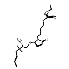 CCCCC(C)(C)C(O)CSC1CCC(=O)C1CCCCCC(=O)OCC